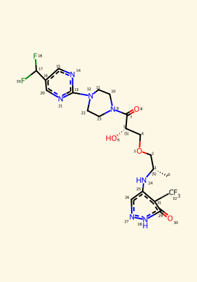 C[C@@H](COC[C@H](O)C(=O)N1CCN(c2ncc(C(F)F)cn2)CC1)Nc1cn[nH]c(=O)c1C(F)(F)F